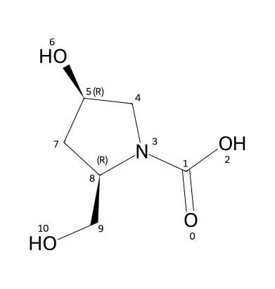 O=C(O)N1C[C@H](O)C[C@@H]1CO